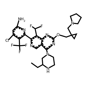 CCC1CN(c2nc(OCC3(CN4CCCC4)CC3)nc3c(C(F)F)c(-c4nc(N)cc(Cl)c4C(F)(F)F)ncc23)CCN1